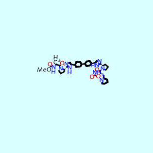 COC(=O)N[C@@H](C)C(=O)N1CCC[C@H]1c1ncc(-c2ccc(-c3ccc(-c4cnc([C@@H]5CCCN5C(=O)[C@H](Cc5ccccn5)OC(N)=O)[nH]4)cc3)cc2)[nH]1